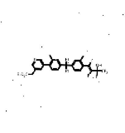 CCOC(=O)Cc1cncc(-c2ccc(C(CC)(CC)c3ccc(C(F)=C(F)C(O)(F)C(F)(F)F)c(C)c3)cc2C)c1